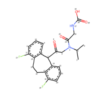 CC(C)N(CC(=O)C1c2cccc(F)c2CCc2c(F)cccc21)C(=O)CNC(=O)O